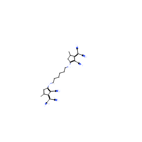 CC1CC(NCCCCCCNC2=C(C#N)C(=C(C#N)C#N)C(C)C2)=C(C#N)C1=C(C#N)C#N